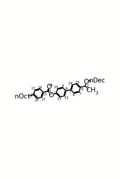 CCCCCCCCCCOC(C)c1ccc(-c2ccc(OC(=O)c3ccc(CCCCCCCC)cc3)cc2)cc1